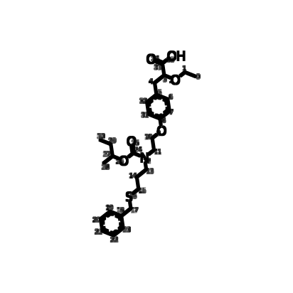 CCOC(Cc1ccc(OCCN(CCCSCc2ccccc2)C(=O)OC(C)CC)cc1)C(=O)O